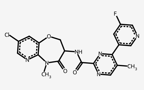 Cc1cnc(C(=O)NC2COc3cc(Cl)cnc3N(C)C2=O)nc1-c1cncc(F)c1